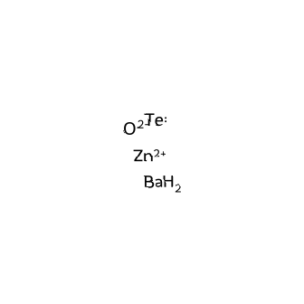 [BaH2].[O-2].[Te].[Zn+2]